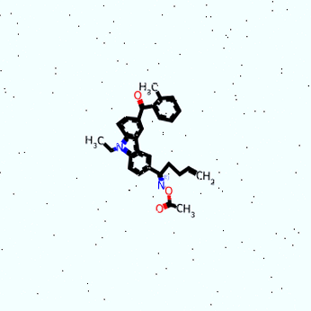 C=CCC/C(=N\OC(C)=O)c1ccc2c(c1)c1cc(C(=O)c3ccccc3C)ccc1n2CC